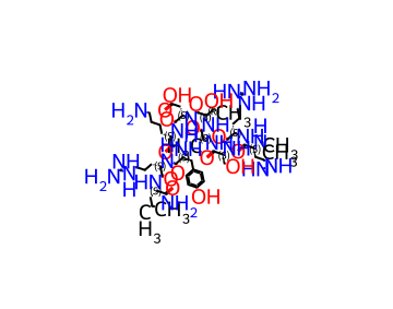 CN[C@@H](CC1(C)NN1)C(=O)N[C@@H](CCCNC(=N)N)C(=O)N[C@@H](CO)C(=O)N[C@@H](C)C(=O)N[C@H](C(=O)N[C@@H](CC(=O)O)C(=O)N[C@@H](CCCCN)C(=O)N[C@@H](Cc1ccc(O)cc1)C(=O)N[C@@H](CCCNC(=N)N)C(=O)N[C@@H](CC(C)C)C(N)=O)[C@@H](C)O